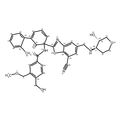 COCc1cc(C(=O)NC2(c3nc4cc(CN[C@@H]5CCOC[C@H]5O)cc(C#N)c4o3)C=CC=C(c3ccccc3C)C2Cl)ncc1CO